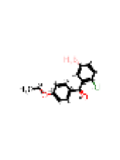 Bc1ccc(Cl)c(C(=O)c2ccc(OCC)cc2)c1